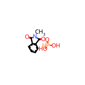 CN1C(=O)c2ccccc2C1=O.O=[PH](O)O